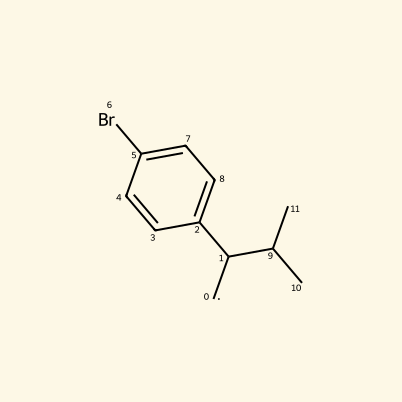 [CH2]C(c1ccc(Br)cc1)C(C)C